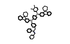 CC1C=CC(N(c2ccc(N(c3ccc(C/C(=C/C4=CC=CCC4)c4ccccc4)cc3)c3ccc4c(c3)C3(CCCCC3)c3ccccc3-4)cc2)c2ccc3c(c2)C2(CCCCC2)c2ccccc2-3)=CC1C